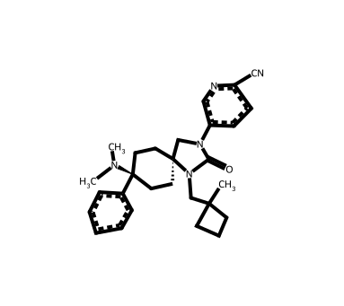 CN(C)[C@]1(c2ccccc2)CC[C@]2(CC1)CN(c1ccc(C#N)nc1)C(=O)N2CC1(C)CCC1